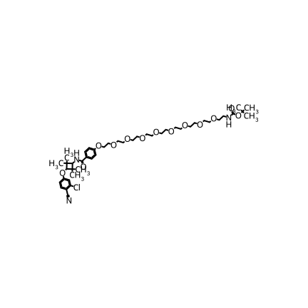 CC(C)(C)OC(=O)NCCOCCOCCOCCOCCOCCOCCOCCOCCOc1ccc(C(=O)NC2C(C)(C)C(Oc3ccc(C#N)c(Cl)c3)C2(C)C)cc1